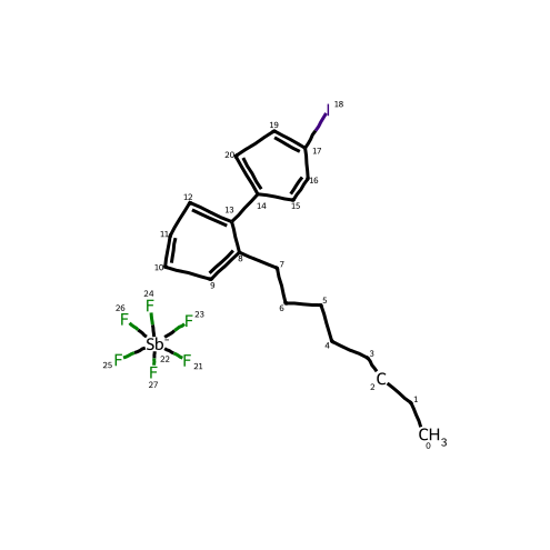 CCCCCCCCc1ccccc1-c1ccc(I)cc1.[F][Sb-]([F])([F])([F])([F])[F]